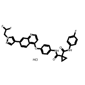 Cl.O=C(Nc1ccc(F)cc1)C1(C(=O)Nc2ccc(Oc3ccnc4cc(-c5cnn(CC(F)F)c5)ccc34)cc2)CC1